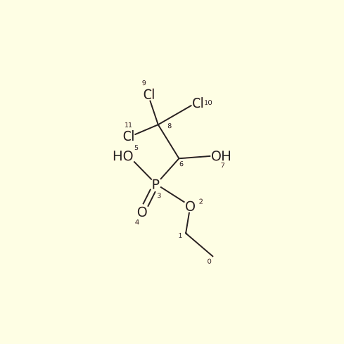 CCOP(=O)(O)C(O)C(Cl)(Cl)Cl